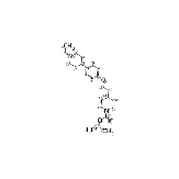 CCN1CCC(c2ccc(OCCC3CCN(C(=O)OC(C)C)CC3)cc2)CC1